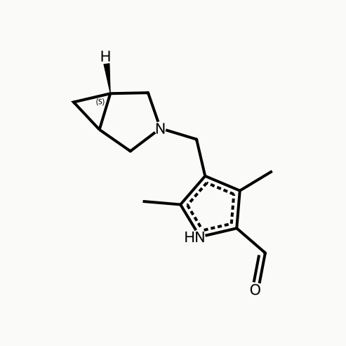 Cc1[nH]c(C=O)c(C)c1CN1CC2C[C@@H]2C1